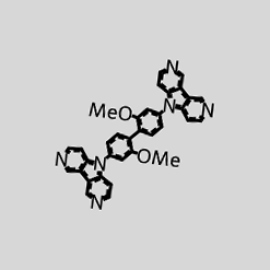 COc1cc(-n2c3ccncc3c3cnccc32)ccc1-c1ccc(-n2c3ccncc3c3cnccc32)cc1OC